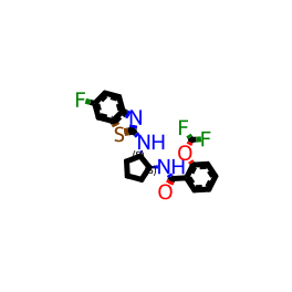 O=C(N[C@H]1CCC[C@@H]1Nc1nc2ccc(F)cc2s1)c1ccccc1OC(F)F